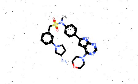 CN(c1ccc(-c2cc3c(N4CCOCC4)ncnc3[nH]2)cc1)S(=O)(=O)Cc1cccc(N2CC[C@H](N)C2)c1